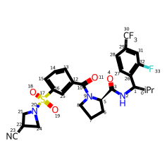 CC(C)C(NC(=O)[C@H]1CCCN1C(=O)c1cccc(S(=O)(=O)N2CC(C#N)C2)c1)c1ccc(C(F)(F)F)cc1F